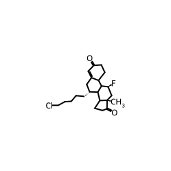 C[C@]12C[C@H](F)C3C4CCC(=O)C=C4C[C@@H](CCCCCCl)C3C1CCC2=O